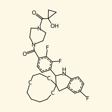 O=C(c1ccc(C2Nc3ccc(F)cc3CC23CCCCCCCCC3)c(F)c1F)N1CCN(C(=O)C2(O)CC2)CC1